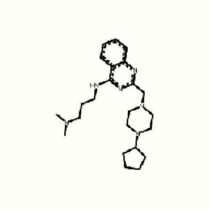 CN(C)CCCNc1nc(CN2CCN(C3CCCC3)CC2)nc2ccccc12